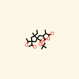 CCC1(C)CC(C(C)=O)(C(C)=O)CC1(CC1C(=O)OC(=O)C1C)C(=O)OC(C)(C)C